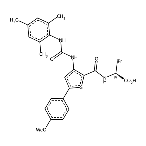 COc1ccc(-c2cc(NC(=O)Nc3c(C)cc(C)cc3C)c(C(=O)N[C@H](C(=O)O)C(C)C)s2)cc1